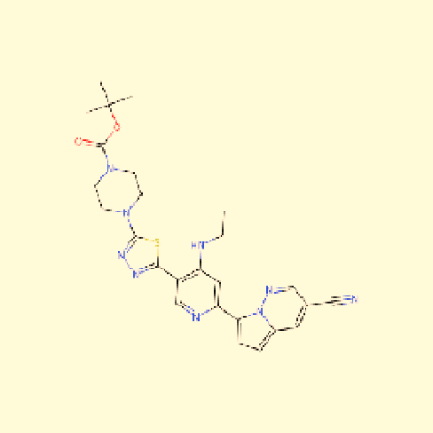 CCNc1cc(-c2ccc3cc(C#N)cnn23)ncc1-c1nnc(N2CCN(C(=O)OC(C)(C)C)CC2)s1